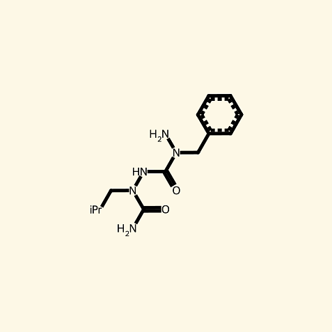 CC(C)CN(NC(=O)N(N)Cc1ccccc1)C(N)=O